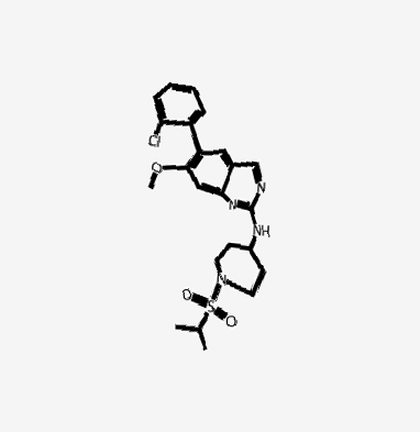 COc1cc2nc(NC3CCN(S(=O)(=O)C(C)C)CC3)ncc2cc1-c1ccccc1Cl